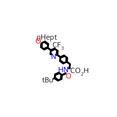 CCCCCCCOc1ccc(-c2cnc(-c3ccc(CC(NC(=O)c4ccc(C(C)(C)C)cc4)C(=O)O)cc3)cc2C(F)(F)F)cc1